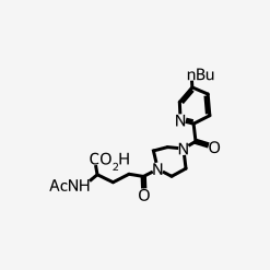 CCCCc1ccc(C(=O)N2CCN(C(=O)CCC(NC(C)=O)C(=O)O)CC2)nc1